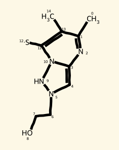 CC1=NC2=CN(CCO)NN2C([S])=C1C